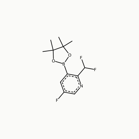 CC1(C)OB(c2cc(F)cnc2C(F)F)OC1(C)C